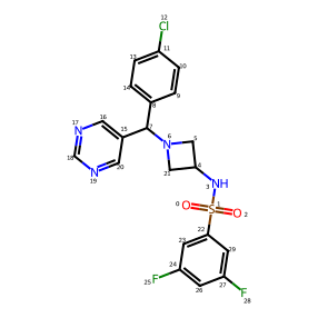 O=S(=O)(NC1CN(C(c2ccc(Cl)cc2)c2cncnc2)C1)c1cc(F)cc(F)c1